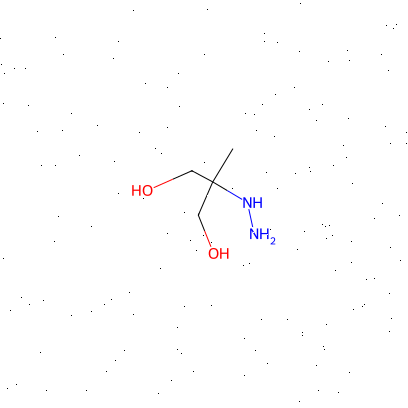 CC(CO)(CO)NN